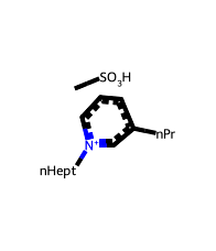 CCCCCCC[n+]1cccc(CCC)c1.CS(=O)(=O)O